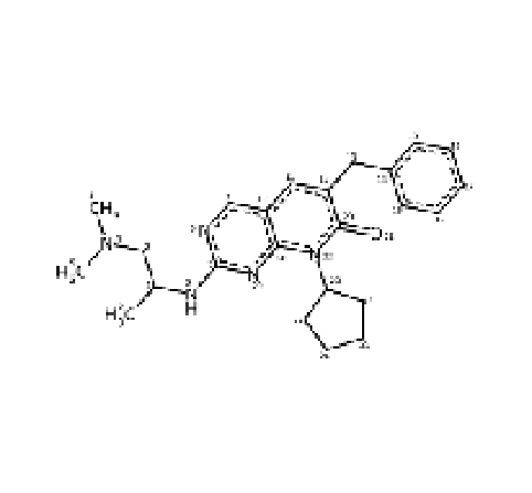 CC(CN(C)C)Nc1ncc2cc(Cc3ccccc3)c(=O)n(C3CCCC3)c2n1